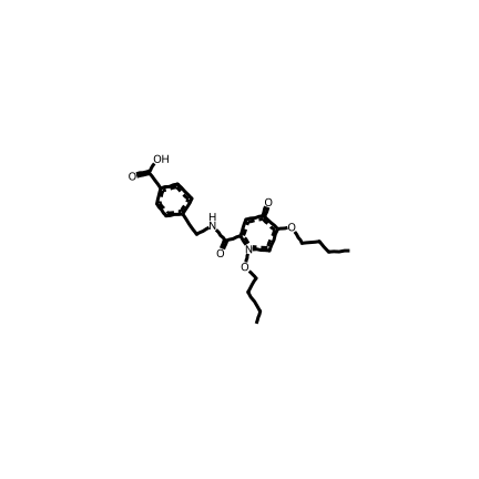 CCCCOc1cn(OCCCC)c(C(=O)NCc2ccc(C(=O)O)cc2)cc1=O